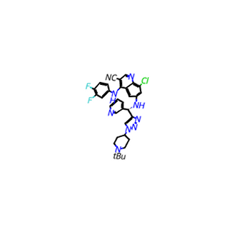 CC(C)(C)N1CCC(n2cc([C@@H](Nc3cc(Cl)c4ncc(C#N)c(Nc5ccc(F)c(F)c5)c4c3)c3cccnc3)nn2)CC1